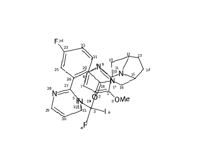 COc1c(C(F)(F)I)ccnc1N1C2CCC1CN(C(=O)c1ccc(F)cc1-c1ncccn1)C2